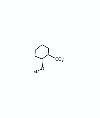 CCOC1CCCCC1C(=O)O